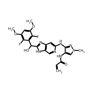 C=CC(=O)Nc1cn(C)nc1Nc1cc2nc(C(O)c3c(F)c(OC)cc(OC)c3F)[nH]c2cn1